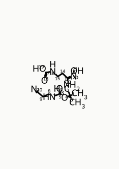 CC(C)(C)OC(=O)NCCC#N.N/C(CCNC(=O)O)=N/O